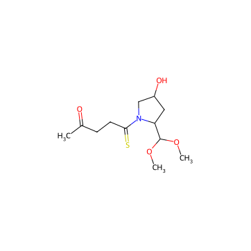 COC(OC)C1CC(O)CN1C(=S)CCC(C)=O